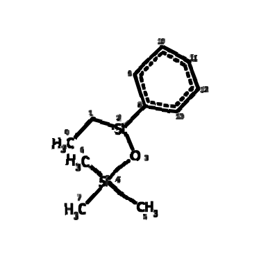 CC[Si](O[Si](C)(C)C)c1ccccc1